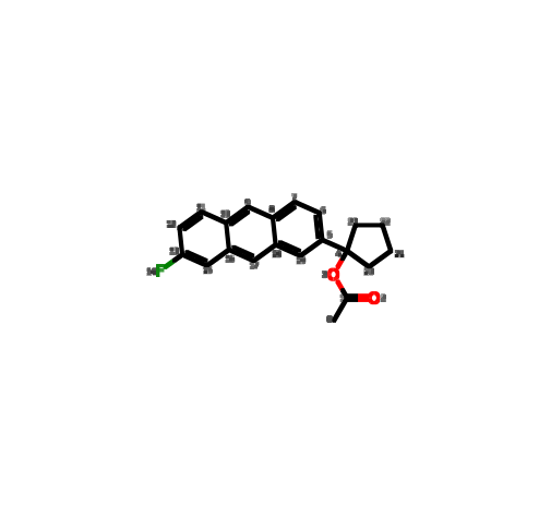 CC(=O)OC1(c2ccc3cc4ccc(F)cc4cc3c2)CCCC1